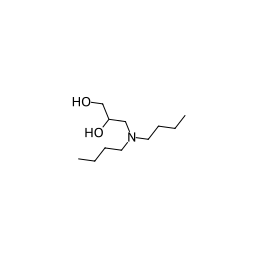 CCCCN(CCCC)CC(O)CO